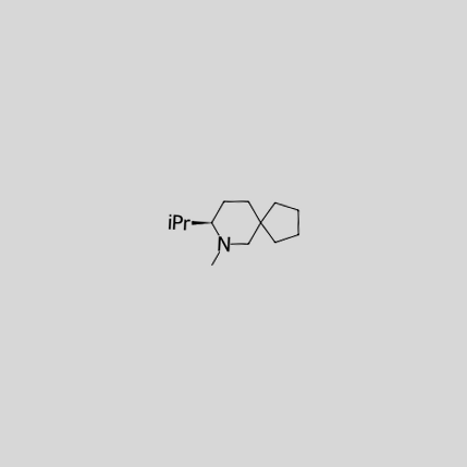 CC(C)[C@H]1CCC2(CCCC2)CN1C